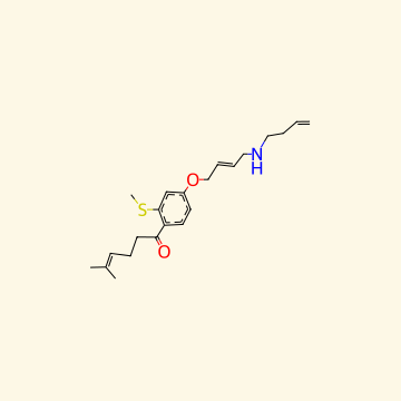 C=CCCNCC=CCOc1ccc(C(=O)CCC=C(C)C)c(SC)c1